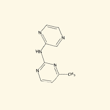 Cc1ccnc(Nc2cnccn2)n1